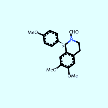 COc1ccc([C@H]2c3cc(OC)c(OC)cc3CCN2C=O)cc1